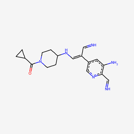 N=C/C(=C\NC1CCN(C(=O)C2CC2)CC1)c1cnc(C=N)c(N)c1